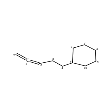 C=C=CCCC1CCCCC1